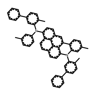 Cc1cccc(N(c2cc(-c3ccccc3)ccc2C)c2ccc3cc4c5c(ccc6ccc2c3c65)N(c2cc(-c3ccccc3)ccc2C)c2cc(C)ccc2-4)c1